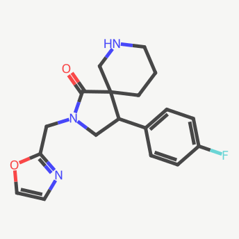 O=C1N(Cc2ncco2)CC(c2ccc(F)cc2)C12CCCNC2